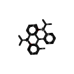 Cc1ccccc1C(c1ccccc1P(C(C)C)C(C)C)c1ccccc1P(C(C)C)C(C)C